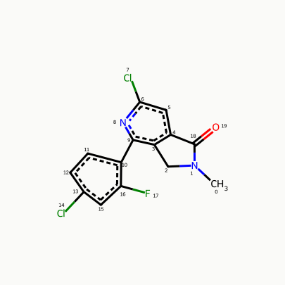 CN1Cc2c(cc(Cl)nc2-c2ccc(Cl)cc2F)C1=O